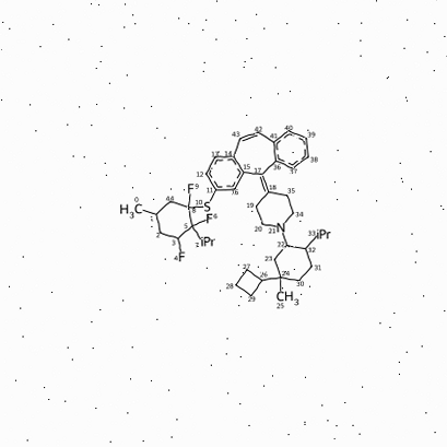 CC1CC(F)C(F)(C(C)C)C(F)(Sc2ccc3c(c2)C(=C2CCN(C4CC(C)(C5CCC5)CCC4C(C)C)CC2)c2ccccc2C=C3)C1